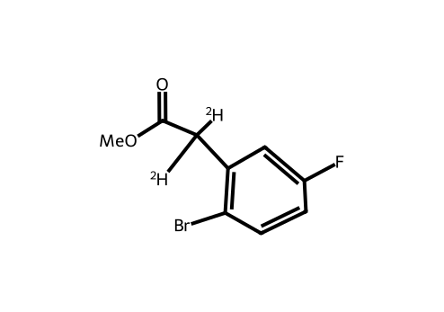 [2H]C([2H])(C(=O)OC)c1cc(F)ccc1Br